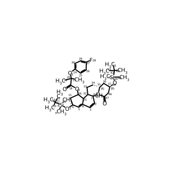 CC1C=CC2=CC(O[Si](C)(C)C(C)(C)C)CC(OC(=O)C(C)(C)Oc3ccc(F)cc3)C2C1CC[C@@H]1C[C@@H](O[Si](C)(C)C(C)(C)C)CC(=O)O1